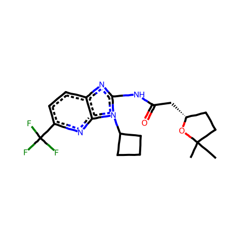 CC1(C)CC[C@@H](CC(=O)Nc2nc3ccc(C(F)(F)F)nc3n2C2CCC2)O1